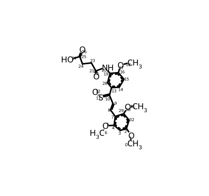 COc1cc(OC)c(C=CC(=S=O)c2ccc(OC)c(NC(=O)CCC(=O)O)c2)c(OC)c1